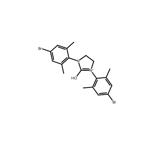 Cc1cc(Br)cc(C)c1N1CC[N+](c2c(C)cc(Br)cc2C)=C1O